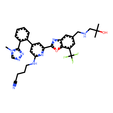 Cn1cnnc1-c1ccccc1-c1cc(NCCCC#N)nc(-c2nc3cc(CNCC(C)(C)O)cc(C(F)(F)F)c3o2)c1